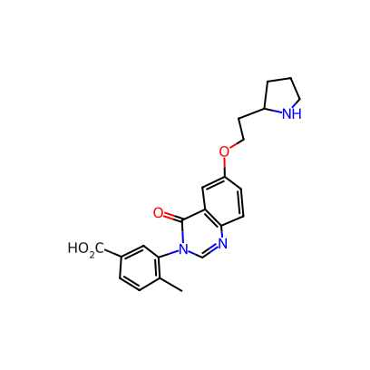 Cc1ccc(C(=O)O)cc1-n1cnc2ccc(OCCC3CCCN3)cc2c1=O